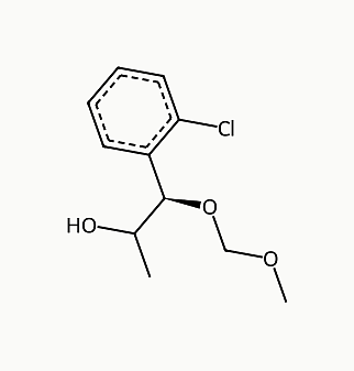 COCO[C@H](c1ccccc1Cl)C(C)O